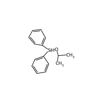 CC(C)O[SiH](c1ccccc1)c1ccccc1